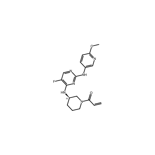 C=CC(=O)N1CCC[C@@H](Nc2nc(Nc3ccc(OC)nc3)ncc2F)C1